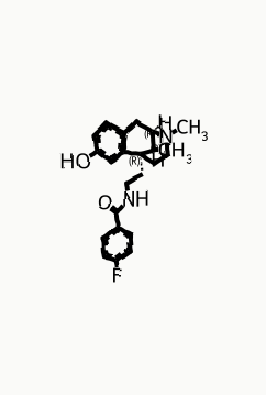 C[C@H]1[C@H]2Cc3ccc(O)cc3[C@]1(CCNC(=O)c1ccc(F)cc1)CCN2C